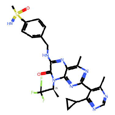 Cc1ncnc(C2CC2)c1-c1nc(C)c2nc(NCc3ccc(S(C)(=N)=O)cc3)c(=O)n([C@@H](C)C(F)(F)F)c2n1